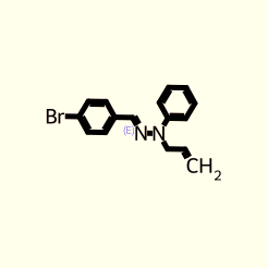 C=CCN(/N=C/c1ccc(Br)cc1)c1ccccc1